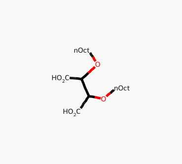 CCCCCCCCOC(C(=O)O)C(OCCCCCCCC)C(=O)O